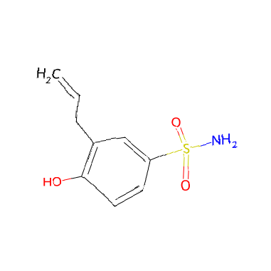 C=CCc1cc(S(N)(=O)=O)ccc1O